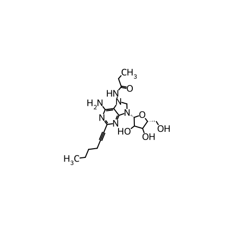 CCCCC#Cc1nc(N)c2c(n1)N([C@@H]1O[C@H](CO)C(O)C1O)CN2NC(=O)CC